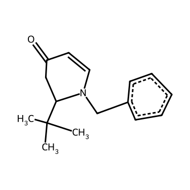 CC(C)(C)C1CC(=O)C=CN1Cc1ccccc1